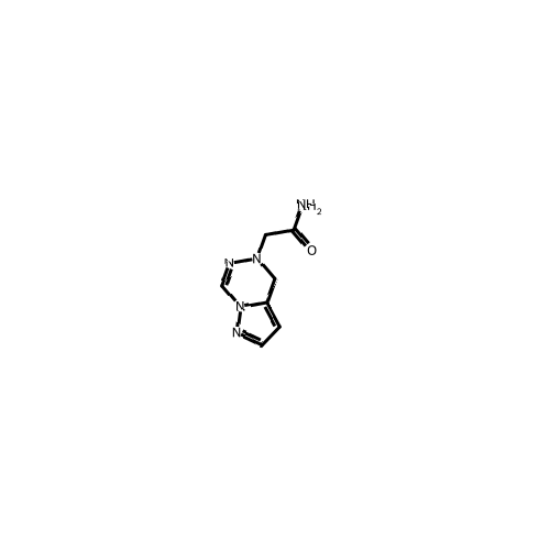 NC(=O)CN1Cc2ccnn2C=N1